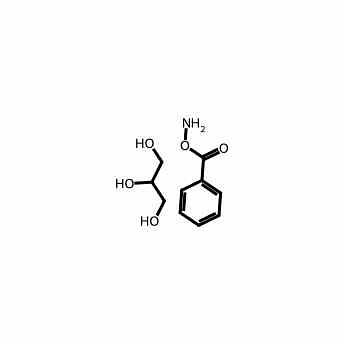 NOC(=O)c1ccccc1.OCC(O)CO